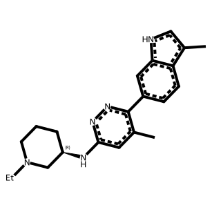 CCN1CCC[C@@H](Nc2cc(C)c(-c3ccc4c(C)c[nH]c4c3)nn2)C1